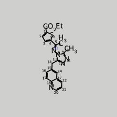 CCOC(=O)c1ccc(/C(C)=N/n2c(C)nnc2Cc2ccc3ncccc3c2)s1